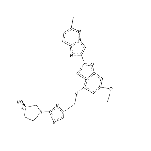 COc1cc(OCc2csc(N3CC[C@@H](O)C3)n2)c2cc(-c3cn4nc(C)ccc4n3)oc2c1